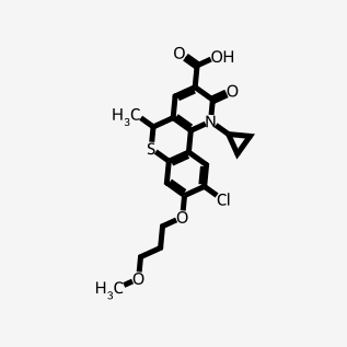 COCCCOc1cc2c(cc1Cl)-c1c(cc(C(=O)O)c(=O)n1C1CC1)C(C)S2